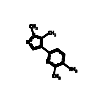 Cc1nc(-c2cnn(C)c2C)ccc1N